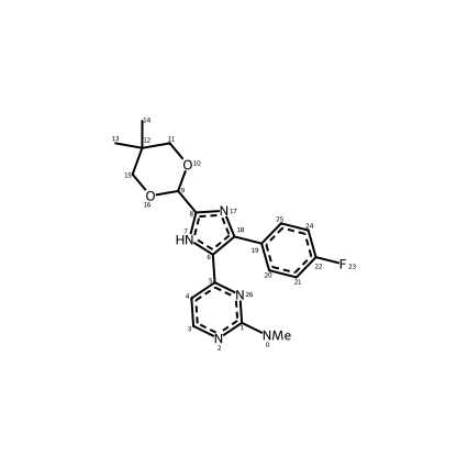 CNc1nccc(-c2[nH]c(C3OCC(C)(C)CO3)nc2-c2ccc(F)cc2)n1